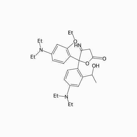 CCOc1cc(N(CC)CC)ccc1C1(c2ccc(N(CC)CC)cc2C(C)O)OC(=O)CC1=N